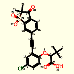 CC(C)(C)C(Oc1ccc(Cl)cc1C#Cc1ccc2c(c1)S(=O)(=O)C(C)(C)C2=O)C(=O)O